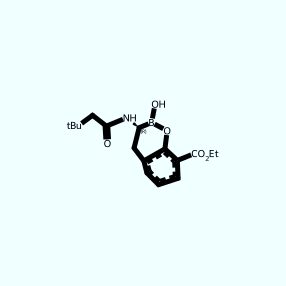 CCOC(=O)c1cccc2c1OB(O)[C@@H](NC(=O)CC(C)(C)C)C2